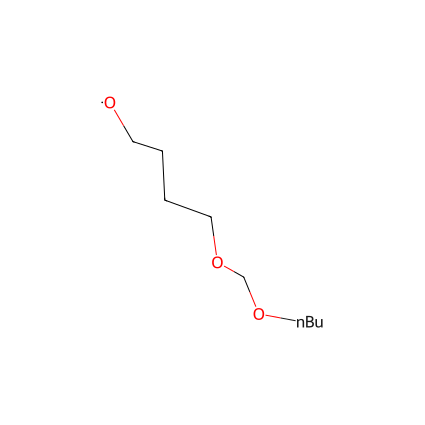 CCCCOCOCCCC[O]